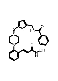 O=C(/C=C/c1ccccc1N1CCN(Sc2ccc(CNC(=O)c3ccccc3)s2)CC1)NO